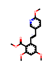 COC(=O)c1c(/C=C/c2ccc(OC)nc2)cc(OC)cc1OC